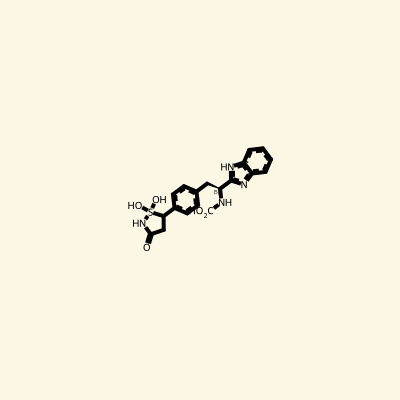 O=C(O)N[C@@H](Cc1ccc(C2CC(=O)NS2(O)O)cc1)c1nc2ccccc2[nH]1